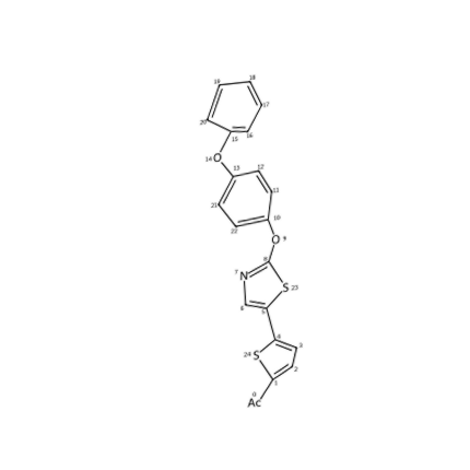 CC(=O)c1ccc(-c2cnc(Oc3ccc(Oc4ccccc4)cc3)s2)s1